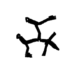 CC(C)(C)C(=O)P(C(=O)C(C)(C)C)[Si](C)(C)C